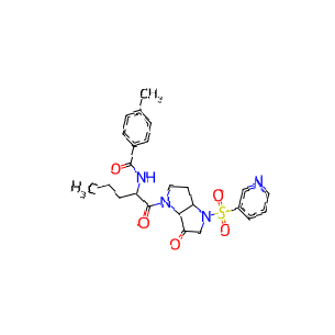 CCCC(NC(=O)c1ccc(C)cc1)C(=O)N1CCC2C1C(=O)CN2S(=O)(=O)c1cccnc1